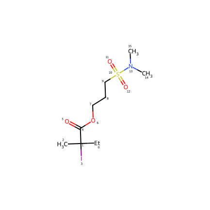 CCC(C)(I)C(=O)OCCCS(=O)(=O)N(C)C